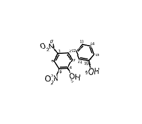 O=[N+]([O-])c1ccc(O)c([N+](=O)[O-])c1.Oc1ccccc1